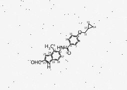 Cc1c(NC(=O)c2ccc(OCC3CC3)cc2)ccc2[nH]c(C=O)cc12